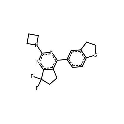 FC1(F)CCc2c(-c3ccc4c(c3)CCS4)nc(N3CCC3)nc21